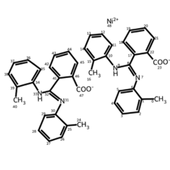 Cc1ccccc1N=C(Nc1ccccc1C)c1ccccc1C(=O)[O-].Cc1ccccc1N=C(Nc1ccccc1C)c1ccccc1C(=O)[O-].[Ni+2]